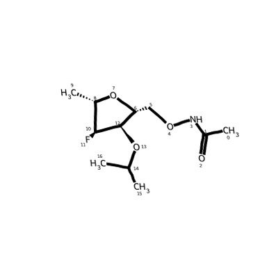 CC(=O)NOC[C@H]1O[C@@H](C)[C@H](F)[C@@H]1OC(C)C